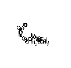 CC1(C)OB(c2ccnc(N3CCC(C(=O)N4CCC(CN5CCN(C(=O)OCc6ccccc6)CC5)CC4)CC3)c2)OC1(C)C